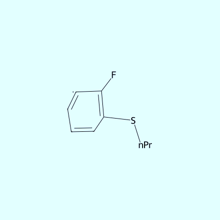 CCCSc1ccc[c]c1F